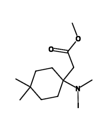 COC(=O)CC1(N(C)I)CCC(C)(C)CC1